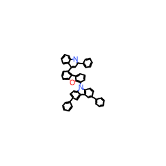 c1ccc(-c2ccc3c(c2)c2cc(-c4ccccc4)ccc2n3-c2cccc3c2oc2cccc(-c4cc(-c5ccccc5)nc5ccccc45)c23)cc1